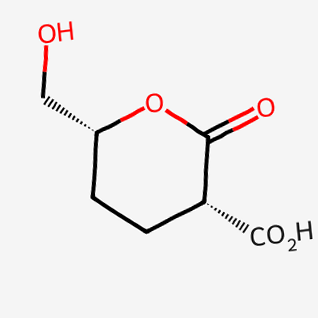 O=C(O)[C@@H]1CC[C@H](CO)OC1=O